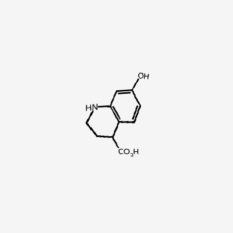 O=C(O)C1CCNc2cc(O)ccc21